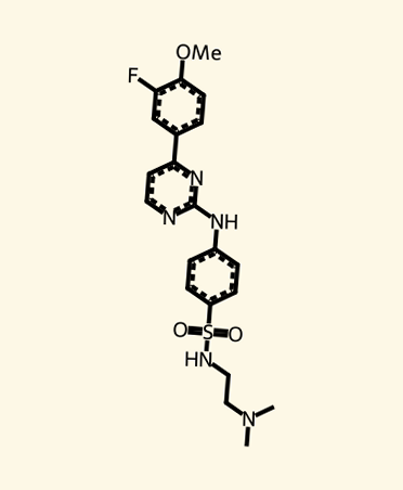 COc1ccc(-c2ccnc(Nc3ccc(S(=O)(=O)NCCN(C)C)cc3)n2)cc1F